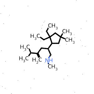 C=C(CC(CNC)C1CC(C)(C)CC1(CC)CC)C(C)C